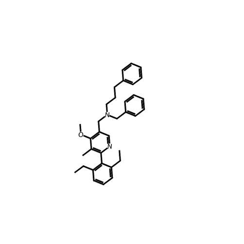 CCc1cccc(CC)c1-c1ncc(CN(CCCc2ccccc2)Cc2ccccc2)c(OC)c1C